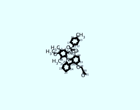 COc1c(C)cc(NS(=O)(=O)c2ccc(C)cc2)c(-n2c3ccccc3c3c(OCC4CO4)cccc32)c1C